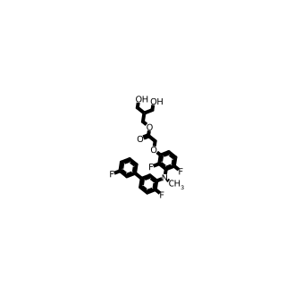 CN(c1cc(-c2cccc(F)c2)ccc1F)c1c(F)ccc(OCC(=O)OCC(CO)CO)c1F